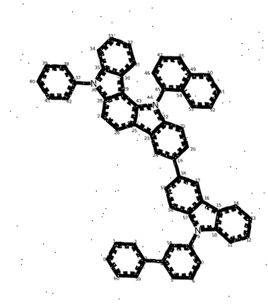 c1ccc(-c2cccc(-n3c4ccccc4c4cc(-c5ccc6c(c5)c5ccc7c(c8ccccc8n7-c7ccccc7)c5n6-c5cccc6ccccc56)ccc43)c2)cc1